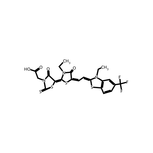 CCN1/C(=C/C=c2/s/c(=C3\SC(=S)N(CC(=O)O)C3=O)n(CC)c2=O)Sc2ccc(C(F)(F)F)cc21